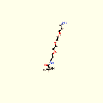 CCC(C)(C(=O)NCCCOCCOCCOCCCN)C(C)C